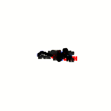 CCCCC/C=C\C/C=C\CCCCCCCCOC(=O)O[C@@H]1[C@]2(CC)C=CCN3CC[C@@]4(c5cc([C@@]6(C(=O)OC)C[C@@H]7C[N@](CCc8c6[nH]c6ccccc86)C[C@](O)(CC)C7)c(OC)cc5N(C=O)[C@H]4[C@@]1(O)C(=O)OC)[C@@H]32